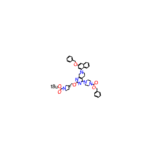 CC(C)(C)OC(=O)N1CC[C@H](COc2nc3c(c(N4CCN(C(=O)OCc5ccccc5)CC4)n2)CCN(c2cc(OCc4ccccc4)cc4ccccc24)C3)C1